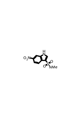 CNS(=O)(=O)c1c[nH]c2cc([N+](=O)[O-])ccc12